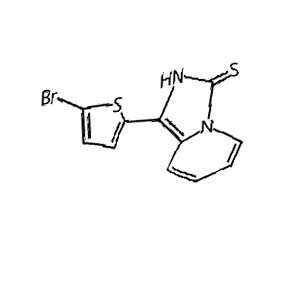 S=c1[nH]c(-c2ccc(Br)s2)c2ccccn12